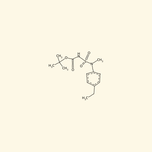 CCc1ccc(N(C)S(=O)(=O)NC(=O)OC(C)(C)C)cc1